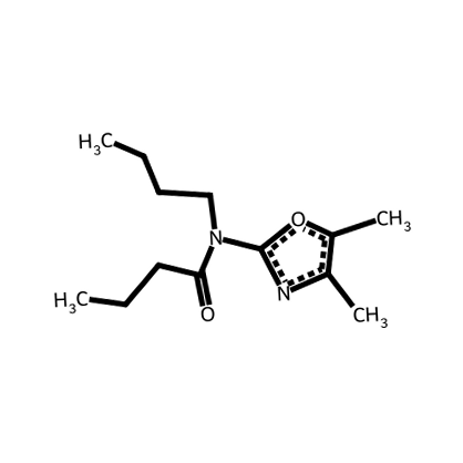 CCCCN(C(=O)CCC)c1nc(C)c(C)o1